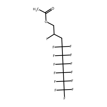 CC(=O)OCC(I)CC(F)(F)C(F)(F)C(F)(F)C(F)(F)C(F)(F)C(F)(F)F